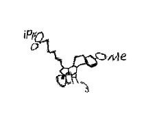 COc1ccc2c(c1)CCC1C2CC[C@]2(C)C(=O)CC(CCCCCC(=O)OC(C)C)C12